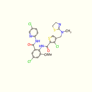 COc1cc(Cl)cc(C(=O)Nc2ccc(Cl)cn2)c1NC(=O)c1scc(CN(C)C2=NCCS2)c1Cl